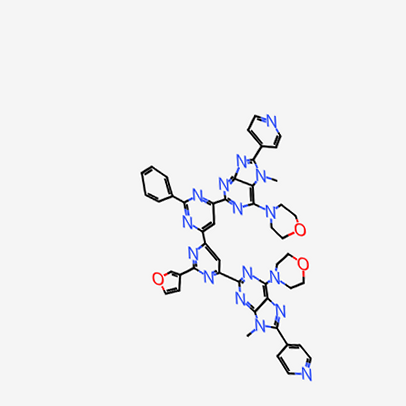 Cn1c(-c2ccncc2)nc2c(N3CCOCC3)nc(-c3cc(-c4cc(-c5nc(N6CCOCC6)c6c(n5)nc(-c5ccncc5)n6C)nc(-c5ccccc5)n4)nc(-c4ccoc4)n3)nc21